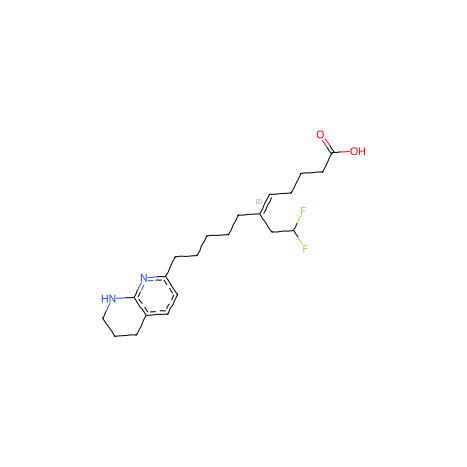 O=C(O)CCC/C=C(/CCCCCc1ccc2c(n1)NCCC2)CC(F)F